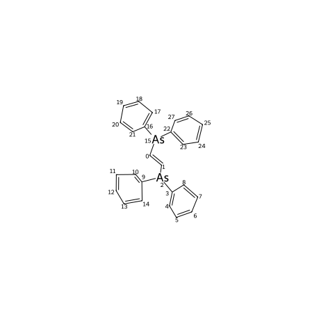 C(=C[As](c1ccccc1)c1ccccc1)[As](c1ccccc1)c1ccccc1